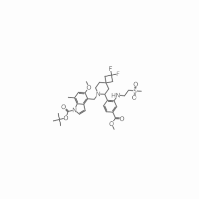 COC(=O)c1ccc(C2CC3(CCN2Cc2c(OC)cc(C)c4c2ccn4C(=O)OC(C)(C)C)CC(F)(F)C3)c(NCCS(C)(=O)=O)c1